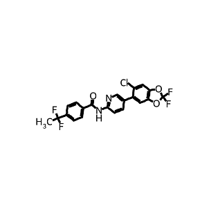 CC(F)(F)c1ccc(C(=O)Nc2ccc(-c3cc4c(cc3Cl)OC(F)(F)O4)cn2)cc1